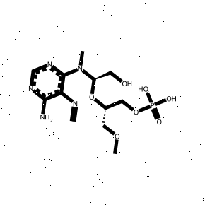 C=Nc1c(N)ncnc1N(C)[C@@H](CO)O[C@@H](COC)COP(=O)(O)O